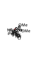 COc1ccc(C(OC[C@H]2O[C@@H](n3cnc4c(Cl)ncnc43)[C@H](OP(OCCC#N)N(C(C)C)C(C)C)[C@@H]2O[Si](C)(C)C(C)(C)C)(c2ccccc2)c2ccc(OC)cc2)cc1